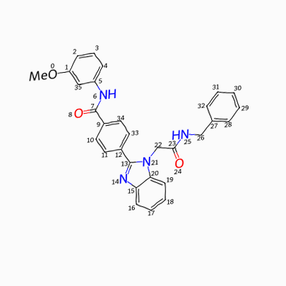 COc1cccc(NC(=O)c2ccc(-c3nc4ccccc4n3CC(=O)NCc3ccccc3)cc2)c1